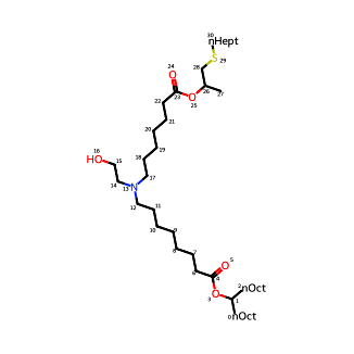 CCCCCCCCC(CCCCCCCC)OC(=O)CCCCCCCN(CCO)CCCCCCC(=O)OC(C)CSCCCCCCC